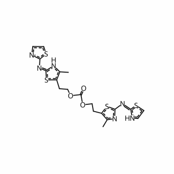 Cc1nc(/N=c2\[nH]ccs2)sc1CCOC(=O)OCCc1s/c(=N/c2nccs2)[nH]c1C